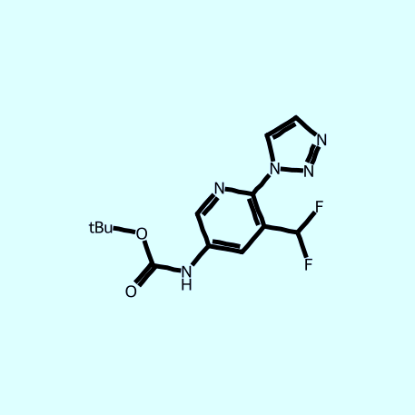 CC(C)(C)OC(=O)Nc1cnc(-n2ccnn2)c(C(F)F)c1